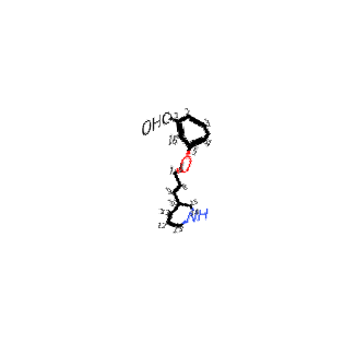 O=Cc1cccc(OCCCC2CCCNC2)c1